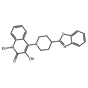 CCn1c(=O)c(C#N)c(N2CCC(c3nc4ccccc4o3)CC2)c2ccccc21